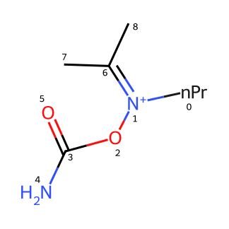 CCC[N+](OC(N)=O)=C(C)C